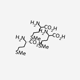 CSCCC(N)C(=O)O.CSCCC(N)C(=O)O.CSCC[C@H](N)C(=O)O